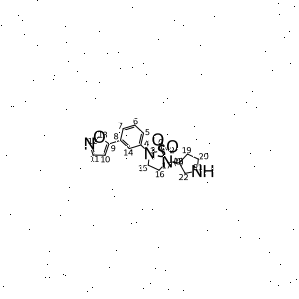 O=S1(=O)N(c2cccc(-c3ccno3)c2)CCN1[C@H]1CCNC1